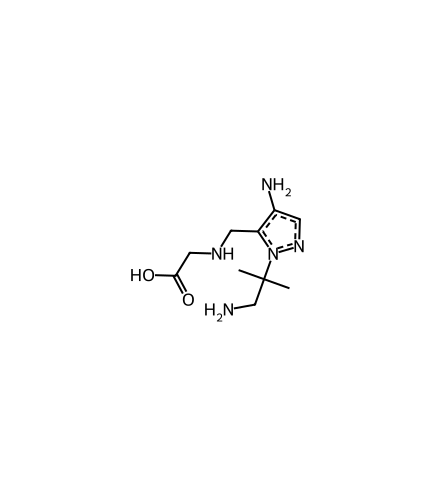 CC(C)(CN)n1ncc(N)c1CNCC(=O)O